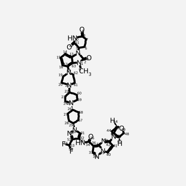 Cn1c(=O)n(C2CCC(=O)NC2=O)c2cccc(N3CCN(C4CCN([C@H]5CC[C@H](n6cc(NC(=O)c7cnn8ccc(N9C[C@H]%10C[C@@H]9CO%10)nc78)c(C(F)F)n6)CC5)CC4)CC3)c21